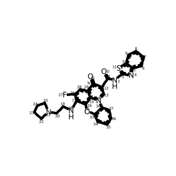 O=C(Nc1nc2ccccc2s1)c1cn2c3c(c(NCCN4CCCC4)c(F)cc3c1=O)Oc1ccccc1-2